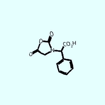 O=C1CN(C(C(=O)O)c2ccccc2)C(=O)O1